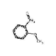 COc1ccccc1[PH2]=O